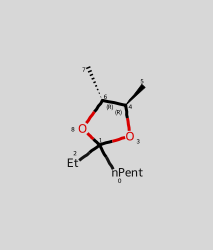 CCCCCC1(CC)O[C@H](C)[C@@H](C)O1